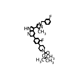 Cc1nn(Cc2cccc(F)c2)cc1-c1c[nH]c2ncc(-c3ccc(C4CCN(C(=O)OC(C)(C)C)CC4)c(F)c3)cc12